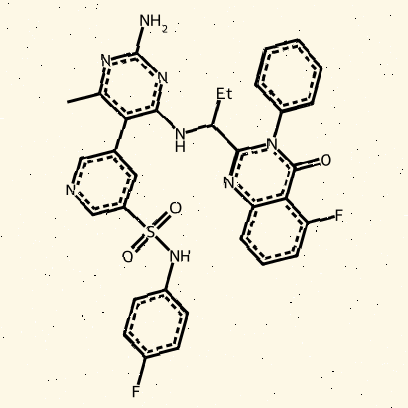 CCC(Nc1nc(N)nc(C)c1-c1cncc(S(=O)(=O)Nc2ccc(F)cc2)c1)c1nc2cccc(F)c2c(=O)n1-c1ccccc1